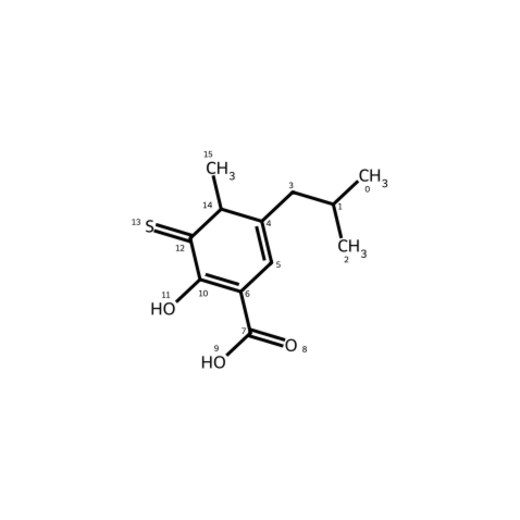 CC(C)CC1=CC(C(=O)O)=C(O)C(=S)C1C